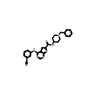 N#Cc1cccc(Nc2ncnc3sc(C(=O)NC4CCN(Cc5ccccc5)CC4)cc23)c1